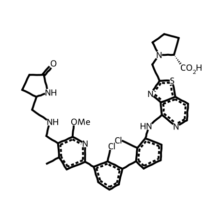 COc1nc(-c2cccc(-c3cccc(Nc4nccc5sc(CN6CCC[C@@H]6C(=O)O)nc45)c3Cl)c2Cl)cc(C)c1CNCC1CCC(=O)N1